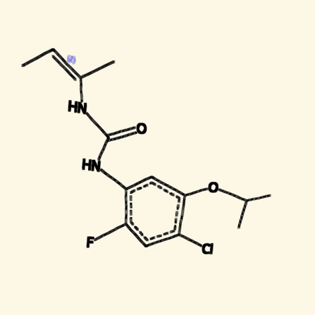 C/C=C(/C)NC(=O)Nc1cc(OC(C)C)c(Cl)cc1F